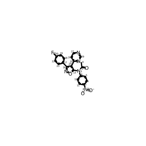 CC(=O)N(c1ccc([N+](=O)[O-])cc1)c1onc(-c2ccc(F)cc2)c1-c1ccncn1